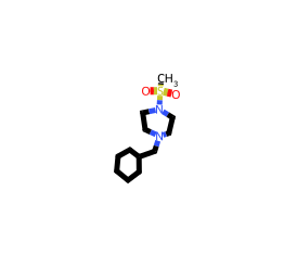 CS(=O)(=O)N1CCN(CC2CCCCC2)CC1